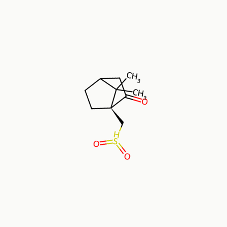 CC1(C)C2CC[C@@]1(C[SH](=O)=O)C(=O)C2